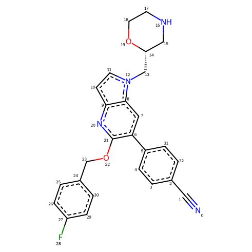 N#Cc1ccc(-c2cc3c(ccn3C[C@H]3CNCCO3)nc2OCc2ccc(F)cc2)cc1